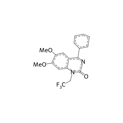 COc1cc2c(-c3ccccc3)nc(=O)n(CC(F)(F)F)c2cc1OC